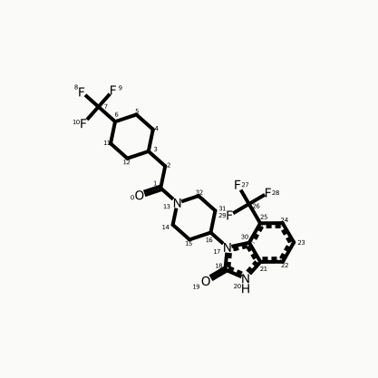 O=C(CC1CCC(C(F)(F)F)CC1)N1CCC(n2c(=O)[nH]c3cccc(C(F)(F)F)c32)CC1